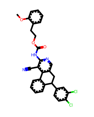 COc1ccccc1CCOC(=O)Nc1ncc2c(c1C#N)-c1ccccc1C(c1ccc(Cl)c(Cl)c1)C2